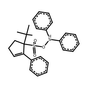 CC(C)(C)C1(S(=O)(=O)O[SiH](c2ccccc2)c2ccccc2)CCC=C1c1ccccc1